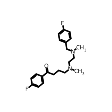 CN(CCCC(=O)c1ccc(F)cc1)CCN(C)Cc1ccc(F)cc1